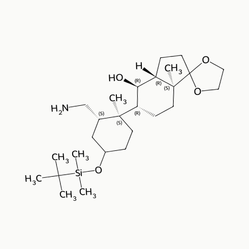 CC(C)(C)[Si](C)(C)OC1CC[C@](C)([C@H]2CC[C@@]3(C)[C@@H](CCC34OCCO4)[C@@H]2O)[C@@H](CN)C1